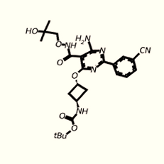 CC(C)(O)CONC(=O)c1c(N)nc(-c2cccc(C#N)c2)nc1O[C@H]1C[C@H](NC(=O)OC(C)(C)C)C1